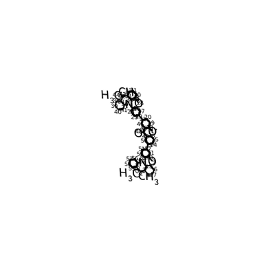 CC1(C)C2=C3C(=CCC2)Oc2cc(-c4ccc5oc6ccc(-c7ccc8c(c7)Oc7cccc9c7N8C7=C(CCC=C7)C9(C)C)cc6c(=O)c5c4)ccc2N3c2ccccc21